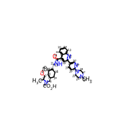 CC(COC(C)(C)C)N(C[C@H]1CC[C@H](CNC(=O)c2cc(-c3ccc(N4CCN(C)CC4)nc3)nc3ccccc23)CC1)C(=O)O